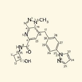 Cn1ncc2nc(C(=O)N[C@@H]3CC[C@H]3O)cc(Cc3ccc(-n4cccn4)cc3)c21